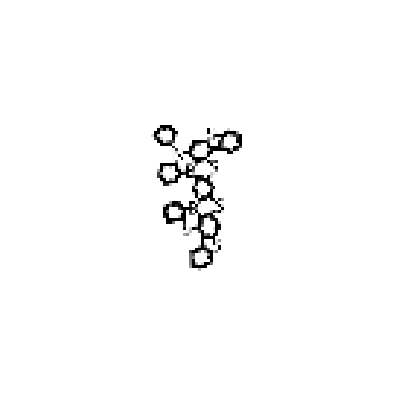 c1ccc(N2c3ccccc3B3c4cc5c(cc4Sc4c3c2cc2sc3ccccc3c42)Sc2cc3sc4ccccc4c3c3c2B5c2ccccc2S3)cc1